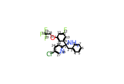 NC(Cc1ccccc1)(c1cc(F)cc(OCC(F)(F)F)c1)c1ccc(Cl)cn1